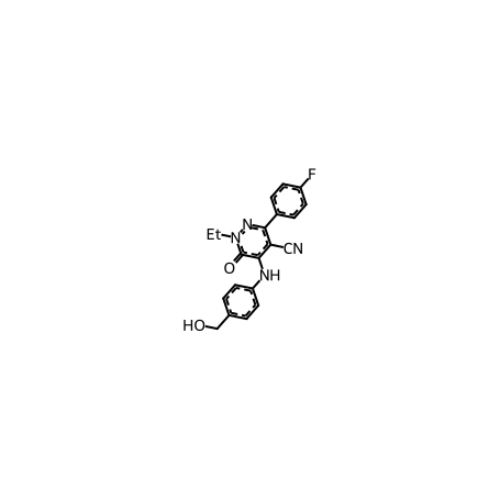 CCn1nc(-c2ccc(F)cc2)c(C#N)c(Nc2ccc(CO)cc2)c1=O